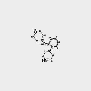 c1ccc(C2CCNCC2)c(OC2CCOCC2)c1